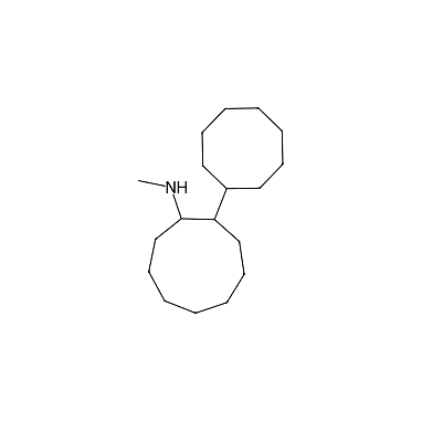 CNC1CCCCCCCC1C1CCCCCCC1